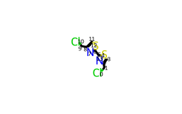 ClCc1csc(-c2nc(CCl)cs2)n1